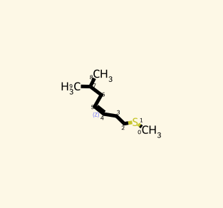 CSCC/C=C\CC(C)C